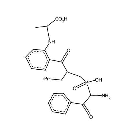 CC(C)CC(CP(=O)(O)C(N)C(=O)c1ccccc1)C(=O)c1ccccc1NC(C)C(=O)O